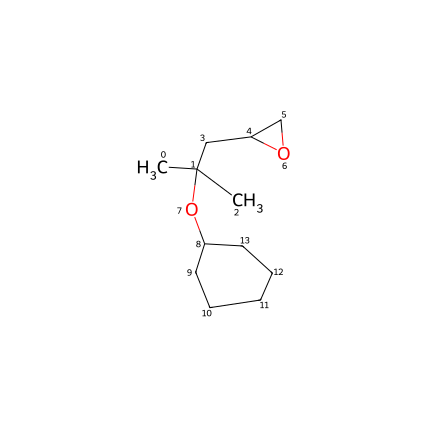 CC(C)(CC1CO1)OC1CCCCC1